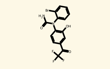 NC(=O)N(c1ccc(C(=O)C(F)(F)F)cc1O)c1ccccc1Br